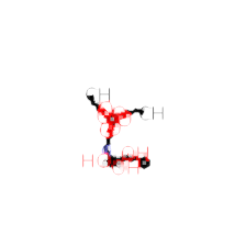 C#CCCCC(=O)Oc1cc(OC(=O)CCCC#C)cc(OC(=O)CCC/C=C\C[C@@H]2[C@@H](CC[C@@H](O)CCc3ccccc3)[C@H](O)C[C@@H]2O)c1